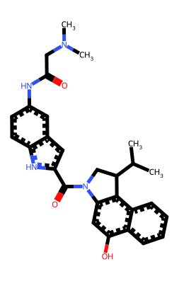 CC(C)C1CN(C(=O)c2cc3cc(NC(=O)CN(C)C)ccc3[nH]2)c2cc(O)c3ccccc3c21